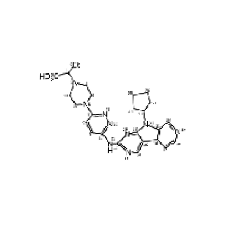 CCC(C(=O)O)N1CCN(c2ccc(Nc3ncc4c5ccncc5n(C5CCCC5)c4n3)nn2)CC1